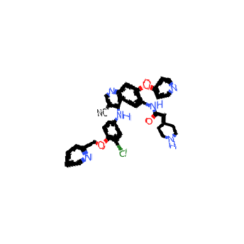 N#Cc1cnc2cc(Oc3ccncc3)c(NC(=O)C=C3CCNCC3)cc2c1Nc1ccc(OCc2ccccn2)c(Cl)c1